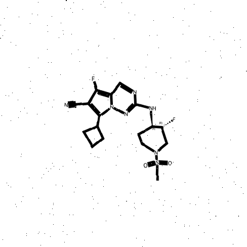 CS(=O)(=O)N1CC[C@@H](Nc2ncc3c(F)c(C#N)c(C4CCC4)n3n2)[C@H](F)C1